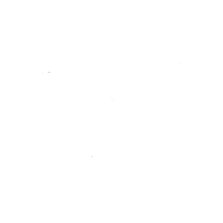 CCCCCCCCCCCCCCCCCCCCCC[N+](C)(CCCCCCCCCCCCCCCCCCCCCC)CCCCCCCCCCCCCCCCCCCCCC